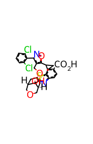 O=C(O)c1ccc2nc(C3(O)[C@@H]4COC[C@H]3CC(OCc3c(-c5c(Cl)cccc5Cl)noc3C3CC3)C4)sc2c1